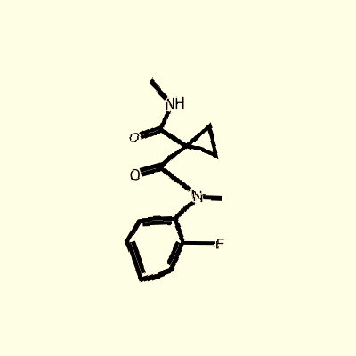 CNC(=O)C1(C(=O)N(C)c2ccccc2F)CC1